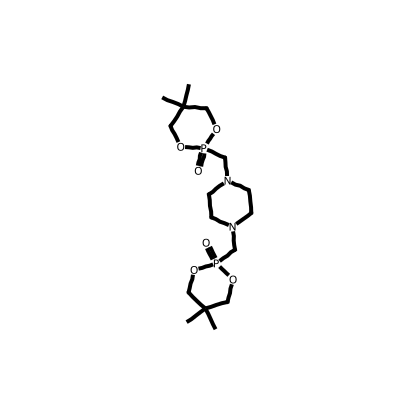 CC1(C)COP(=O)(CN2CCN(CP3(=O)OCC(C)(C)CO3)CC2)OC1